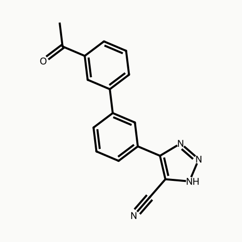 CC(=O)c1cccc(-c2cccc(-c3nn[nH]c3C#N)c2)c1